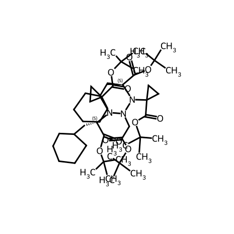 CC(C)(C)OC(=O)CN(N([C@@H](CC1CCCCC1)C(=O)OC(C)(C)C)C1(C(=O)OC(C)(C)C)CC1)N([C@@H](CC1CCCCC1)C(=O)OC(C)(C)C)C1(C(=O)OC(C)(C)C)CC1